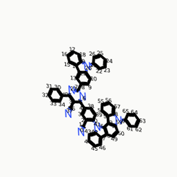 N#Cc1cc(-c2nc(-c3ccc4c(c3)c3ccccc3n4-c3ccccc3)nc(-c3ccccc3)c2C#N)ccc1-n1c2ccccc2c2ccc3c(c4ccccc4n3-c3ccccc3)c21